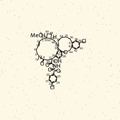 CO[C@H]1/C=C/CCN(C)C(=O)C[C@](O)(C(=O)NS(=O)(=O)c2ccc(Cl)cc2)c2ccc3c(c2)N(CCCCc2cc(Cl)ccc2CO3)C[C@@H]2CC[C@H]21